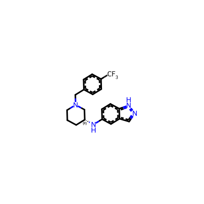 FC(F)(F)c1ccc(CN2CCC[C@@H](Nc3ccc4[nH]ncc4c3)C2)cc1